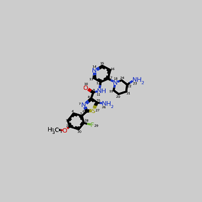 COc1ccc(-c2nc(C(=O)Nc3cnccc3N3CCCC(N)C3)c(N)s2)c(F)c1